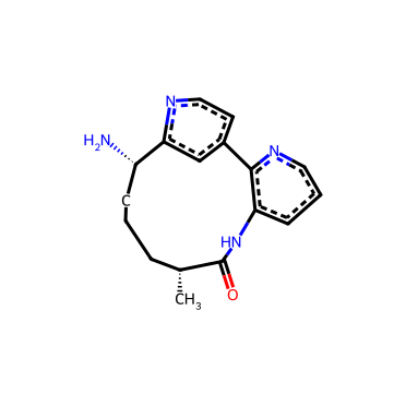 C[C@@H]1CCC[C@H](N)c2cc(ccn2)-c2ncccc2NC1=O